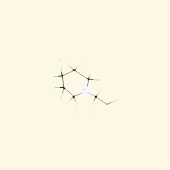 FCC(F)(F)N1C(F)(F)C(F)(F)C(F)(F)C(F)(F)C1(F)F